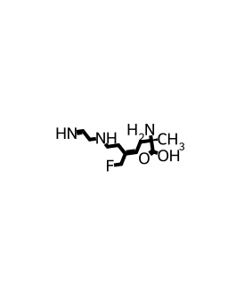 C[C@](N)(C/C=C(/CF)CCNCC=N)C(=O)O